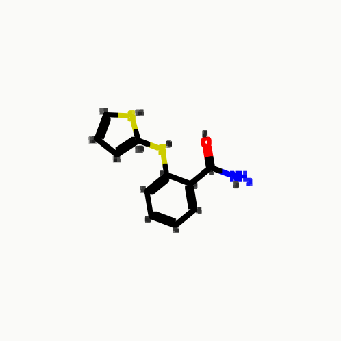 NC(=O)c1ccccc1Sc1cccs1